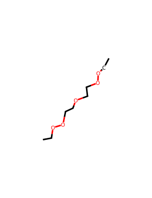 CCOOCCOCCOOCC